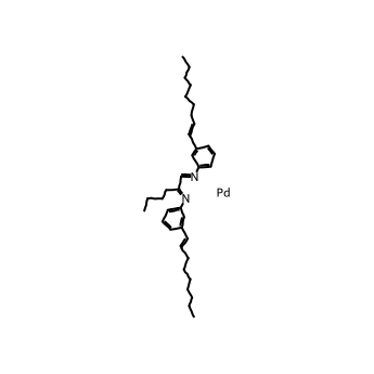 CCCCCCCC=Cc1cccc(N=CC(CCCC)=Nc2cccc(C=CCCCCCCC)c2)c1.[Pd]